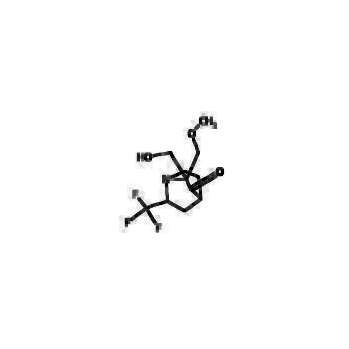 COCC1(CO)C(=O)C2CCN1C(C(F)(F)F)C2